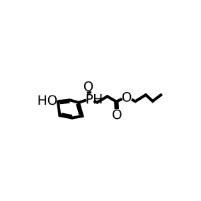 CCCCOC(=O)CC[PH](=O)c1cccc(O)c1